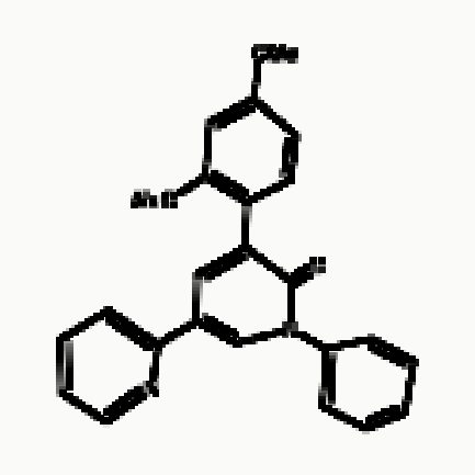 COc1ccc(-c2cc(-c3ccccn3)cn(-c3ccccc3)c2=O)c(OC)c1